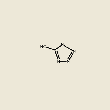 N#CC1=NN=N[N]1